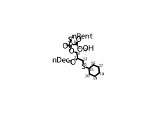 CCCCCCCCCCOC(COP(=O)(SCCCCC)C(=O)OO)CSC1CCCCC1